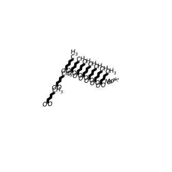 CCCCCC(=O)[O-].CCCCCC(=O)[O-].CCCCCC(=O)[O-].CCCCCC(=O)[O-].CCCCCC(=O)[O-].CCCCCC(=O)[O-].CCCCCC(=O)[O-].CCCCCC(=O)[O-].CCCCCC(=O)[O-].[Bi+3].[Mo+6]